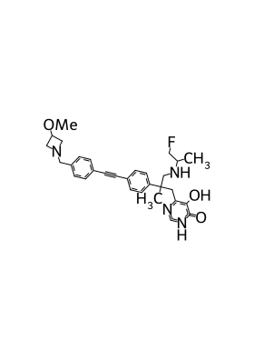 COC1CN(Cc2ccc(C#Cc3ccc(C(C)(CNC(C)CF)Cc4nc[nH]c(=O)c4O)cc3)cc2)C1